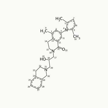 Cc1cc(-n2c(C)ccc2C)cc2c1CCN(CC(O)CN1CCc3ccccc3C1)C2=O